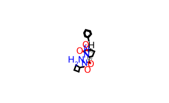 NN(C(=O)C1CCC1)C(=O)[C@@H]1CC[C@@H]2CN1C(=O)N2OCc1ccccc1